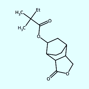 CCC(C)(C)C(=O)OC1CC2CCC1C1C(=O)OCC21